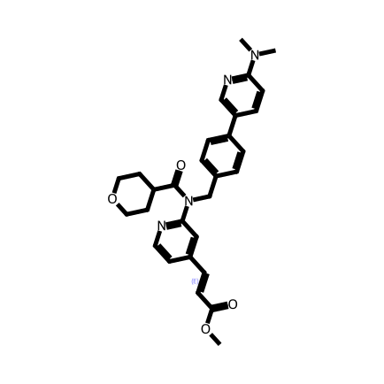 COC(=O)/C=C/c1ccnc(N(Cc2ccc(-c3ccc(N(C)C)nc3)cc2)C(=O)C2CCOCC2)c1